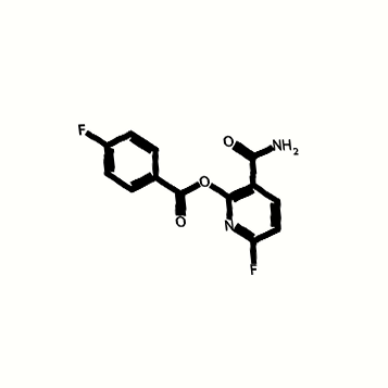 NC(=O)c1ccc(F)nc1OC(=O)c1ccc(F)cc1